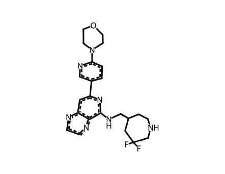 FC1(F)CNCCC(CNc2nc(-c3ccc(N4CCOCC4)nc3)cc3nccnc23)C1